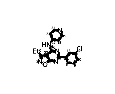 CCc1noc2nc(-c3cccc(Cl)c3)nc(Nc3ccncc3)c12